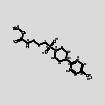 CC(C)(C)OC(=O)NCCCS(=O)(=O)N1CCN(c2ncc(C(F)(F)F)cn2)CC1